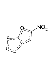 O=[N+]([O-])c1cc2ccsc2o1